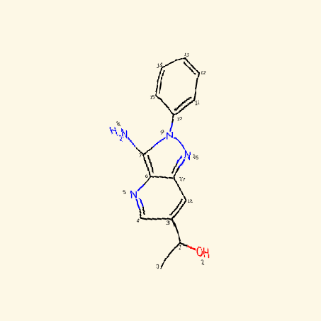 CC(O)c1cnc2c(N)n(-c3ccccc3)nc2c1